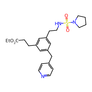 CCOC(=O)CCc1cc(CCNS(=O)(=O)N2CCCC2)cc(Cc2ccncc2)c1